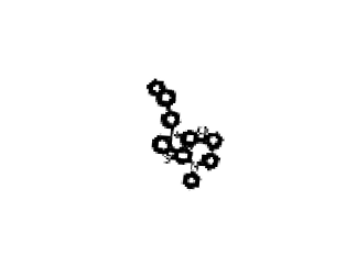 c1ccc(N(c2ccccc2)c2ccc3c(c2)sc2cccc(N(c4ccc(-c5ccc6ccccc6c5)cc4)c4ccc5c(c4)oc4ccccc45)c23)cc1